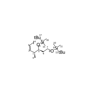 C[C@@H](/C=C\I)[C@H](CCO[Si](C)(C)C(C)(C)C)O[Si](C)(C)C(C)(C)C